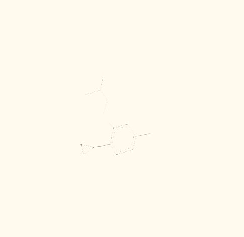 O=C(O)c1ccc(C2CC2)c(OCC(F)F)c1